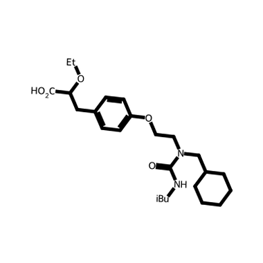 CCOC(Cc1ccc(OCCN(CC2CCCCC2)C(=O)NC(C)CC)cc1)C(=O)O